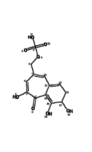 O=c1c(O)cc(COS(=O)(=O)O)cc2c1=C(O)C(O)CC=2